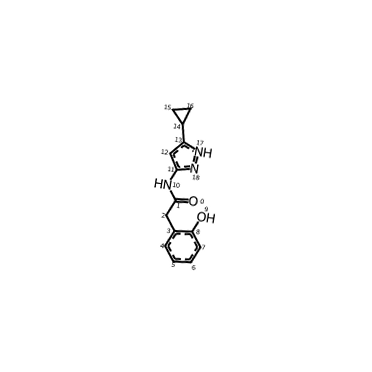 O=C(Cc1ccccc1O)Nc1cc(C2CC2)[nH]n1